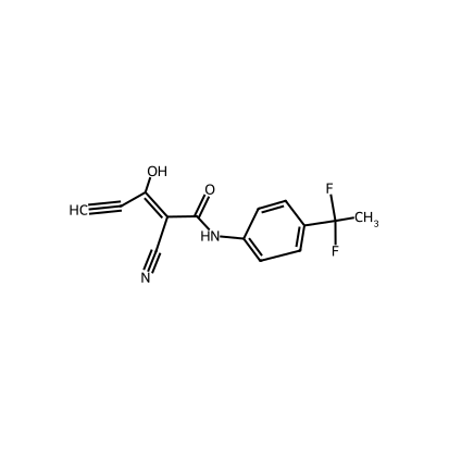 C#C/C(O)=C(\C#N)C(=O)Nc1ccc(C(C)(F)F)cc1